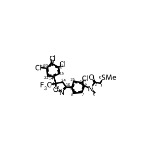 CSCC(=O)N(C)c1ccc(C2=NOC(c3cc(Cl)c(Cl)c(Cl)c3)(C(F)(F)F)C2)cc1Cl